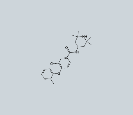 Cc1ccccc1Sc1ccc(C(=O)NC2CC(C)(C)NC(C)(C)C2)cc1Cl